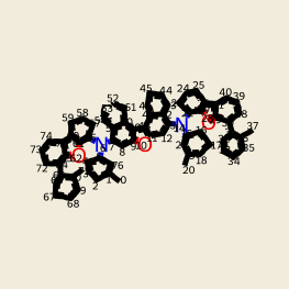 Cc1cccc(N(c2cc3oc4cc(N(c5cccc(C)c5)c5cccc6c5oc5c(-c7ccccc7C)cccc56)c5ccccc5c4c3c3ccccc23)c2cccc3c2oc2c(-c4ccccc4C)cccc23)c1